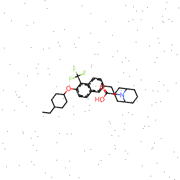 CCC1CCC(Oc2ccc3cc(CCN4C5CCCC4CC(C(=O)O)C5)ccc3c2C(F)(F)F)CC1